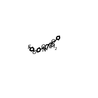 N[C@@H](CC(=O)OCc1ccccc1)Cc1nnc(-c2ccc(Oc3ccc(F)cc3)cc2)o1